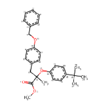 COC(=O)C(C)(Cc1ccc(OCc2ccccc2)cc1)Oc1ccc(C(C)(C)C)cc1